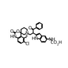 O=C(O)Nc1ccc2[nH]c(C(CN3CCCC4(C3)OC(=O)Nc3ccc(Cl)c(F)c34)C(=O)c3ccccc3)cc2c1